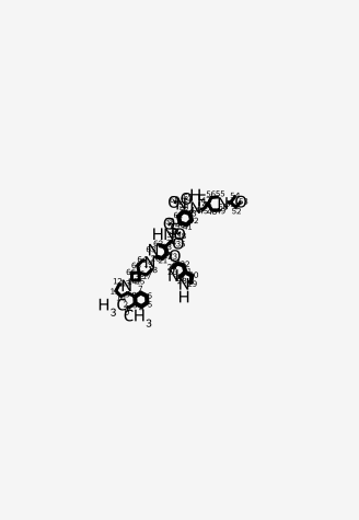 CC(C)c1ccccc1C1CCCN1C1CC2(CCN(c3cc(Oc4cnc5[nH]ccc5c4)c(C(=O)NS(=O)(=O)c4ccc(NCC5(F)CCN(C6COC6)CC5)c([N+](=O)[O-])c4)cn3)CC2)C1